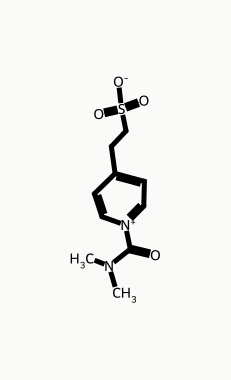 CN(C)C(=O)[n+]1ccc(CCS(=O)(=O)[O-])cc1